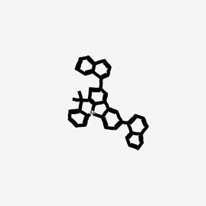 CC1(C)c2ccccc2-n2c3ccc(-c4cccc5ccccc45)cc3c3cc(-c4cccc5ccccc45)cc1c32